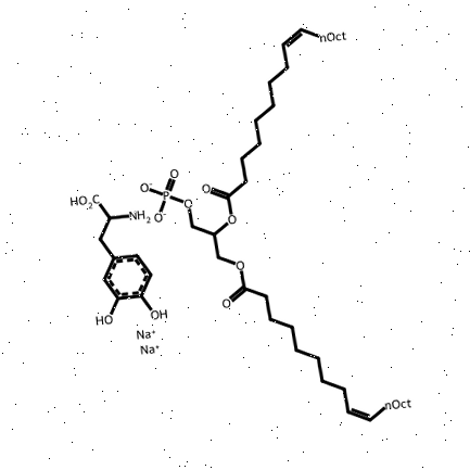 CCCCCCCC/C=C\CCCCCCCC(=O)OCC(COP(=O)([O-])[O-])OC(=O)CCCCCCC/C=C\CCCCCCCC.NC(Cc1ccc(O)c(O)c1)C(=O)O.[Na+].[Na+]